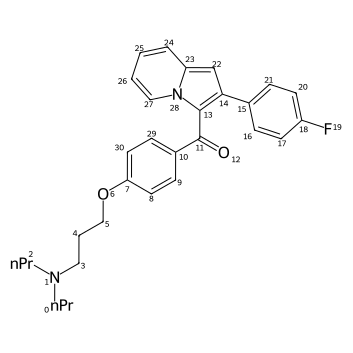 CCCN(CCC)CCCOc1ccc(C(=O)c2c(-c3ccc(F)cc3)cc3ccccn23)cc1